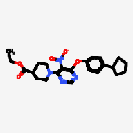 CCOC(=O)C1CCN(c2ncnc(Oc3ccc(C4CCCC4)cc3)c2[N+](=O)[O-])CC1